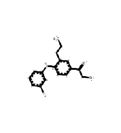 CCCc1cc(C(=O)CO)ccc1Oc1cccc(Br)c1